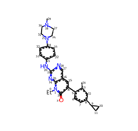 CCn1c(=O)c(-c2ccc(C3CC3)cc2C)cc2cnc(Nc3ccc(N4CCN(C)CC4)cc3)nc21